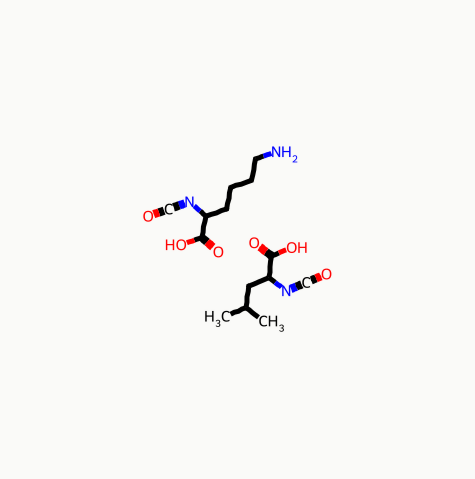 CC(C)CC(N=C=O)C(=O)O.NCCCCC(N=C=O)C(=O)O